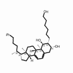 CC(C)CCC[C@@H](C)[C@H]1CC[C@H]2C3=CC=C4C[C@@H](O)[C@@H](CCCCCCO)[C@H](O)[C@]4(C)[C@H]3CC[C@]12C